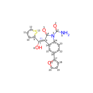 NC(=O)N1C(=O)/C(=C(/O)c2cccs2)c2cc(-c3ccco3)ccc21